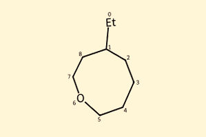 CCC1CCCCOCC1